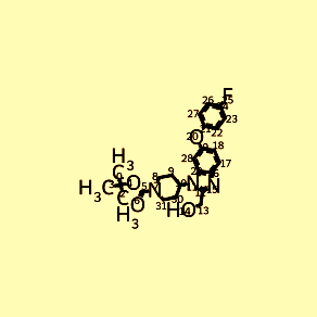 CC(C)(C)OC(=O)N1CCC(n2c(CO)nc3ccc(Oc4ccc(F)cc4)cc32)CC1